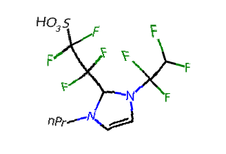 CCCN1C=CN(C(F)(F)C(F)F)C1C(F)(F)C(F)(F)S(=O)(=O)O